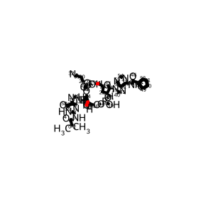 CC(C)C(=O)Nc1nc2c(ncn2[C@@H]2O[C@@H]3COP(O)O[C@@H]4C[C@@H](COP(=O)(OCCC#N)O[C@@H]2[C@@H]3F)O[C@H]4n2cnc3c(NC(=O)c4ccccc4)ncnc32)c(=O)[nH]1